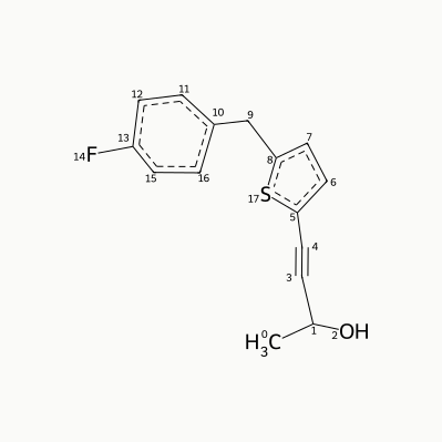 CC(O)C#Cc1ccc(Cc2ccc(F)cc2)s1